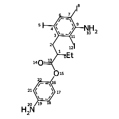 CCC(Cc1c(I)cc(I)c(N)c1I)C(=O)Oc1ccc(N)cc1